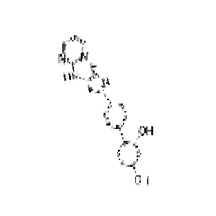 Oc1ccc(-c2ccc(-c3cc(Nc4ncccn4)[nH]n3)cc2)c(O)c1